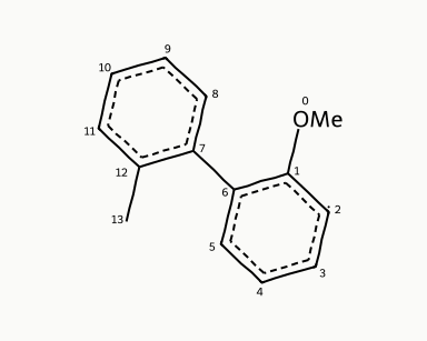 COc1[c]cccc1-c1ccccc1C